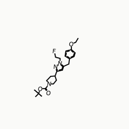 CCOc1ccc(Cc2cc(C3CCN(C(=O)OC(C)(C)C)CC3)nn2CCF)cc1